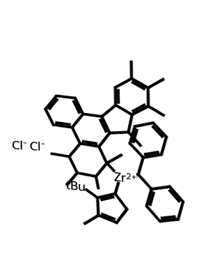 CC1=CC[C]([Zr+2](=[C](c2ccccc2)c2ccccc2)[C]2(C)c3c4c(c5ccccc5c3C(C)C(C)C2C)-c2cc(C)c(C)c(C)c2C4C)=C1C(C)(C)C.[Cl-].[Cl-]